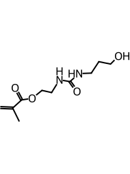 C=C(C)C(=O)OCCNC(=O)NCCCO